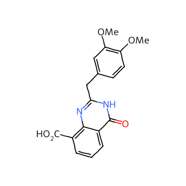 COc1ccc(Cc2nc3c(C(=O)O)cccc3c(=O)[nH]2)cc1OC